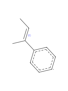 C/C=C(\C)c1cc[c]cc1